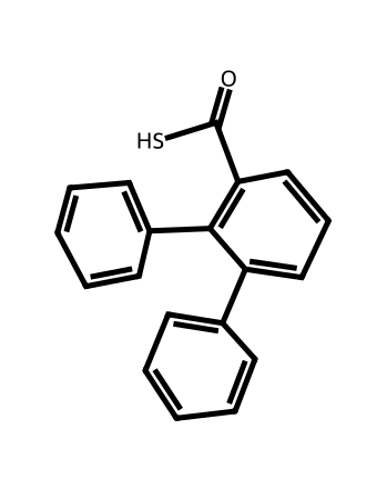 O=C(S)c1cccc(-c2ccccc2)c1-c1ccccc1